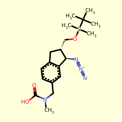 CN(Cc1ccc2c(c1)[C@H](N=[N+]=[N-])[C@@H](CO[Si](C)(C)C(C)(C)C)C2)C(=O)O